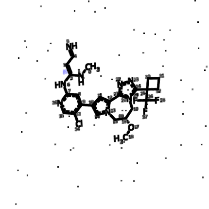 CN/C(=C\C=N)Nc1cc(-c2cc3n(c2)C[C@@H](OC)Cn2c-3nnc2C2(C(F)(F)F)CCC2)c(Cl)cn1